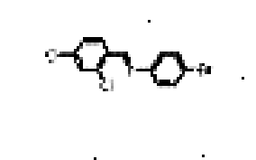 Clc1ccc(/C=N/c2ccc(Br)cc2)c(Cl)c1